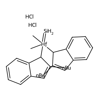 CCCCC1=Cc2ccccc2[CH]1[Hf]([CH3])([CH3])(=[SiH2])[CH]1C(CCCC)=Cc2ccccc21.Cl.Cl